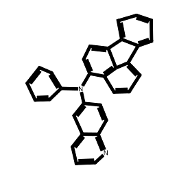 c1ccc(N(c2ccc3ncccc3c2)c2ccc3c4c(cccc24)-c2ccccc2-3)cc1